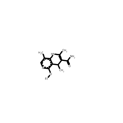 CCOc1ncc(C)c2c1C(C)C(C(N)=O)=C(C)N2